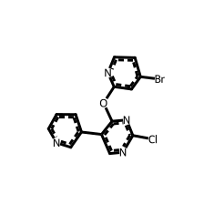 Clc1ncc(-c2cccnc2)c(Oc2cc(Br)ccn2)n1